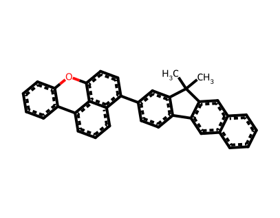 CC1(C)c2cc(-c3ccc4c5c(cccc35)-c3ccccc3O4)ccc2-c2cc3ccccc3cc21